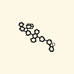 c1ccc2c3c(ccc2c1)-c1ccc(-c2c4ccccc4c(-c4ccc(-c5ccc6oc7ccccc7c6c5)cc4)c4ccccc24)cc1C31C2CC3CC(C2)CC1C3